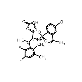 Cc1cc(F)c(F)c([C@@H](C)[C@H](NS(=O)(=O)c2ccc(Cl)cc2C(N)=O)c2n[nH]c(=O)o2)c1C